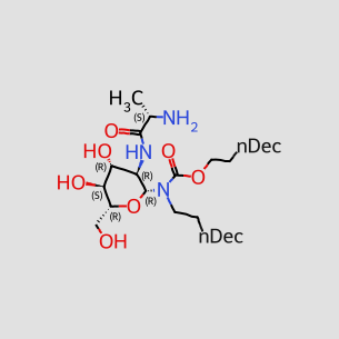 CCCCCCCCCCCCOC(=O)N(CCCCCCCCCCCC)[C@@H]1O[C@H](CO)[C@@H](O)[C@H](O)[C@H]1NC(=O)[C@H](C)N